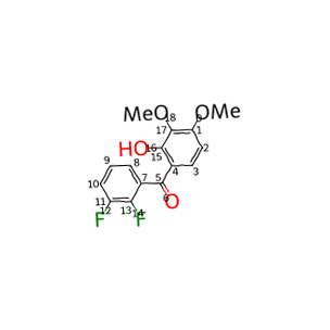 COc1ccc(C(=O)c2cccc(F)c2F)c(O)c1OC